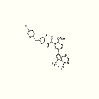 COc1ncc(-c2cc(C(F)(F)F)c3c(N)ncnn23)cc1C(=O)N[C@@H]1CN(Cc2ccc(F)cn2)C[C@@H]1F